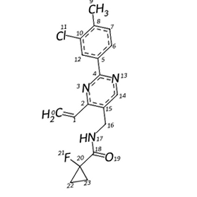 C=Cc1nc(-c2ccc(C)c(Cl)c2)ncc1CNC(=O)C1(F)CC1